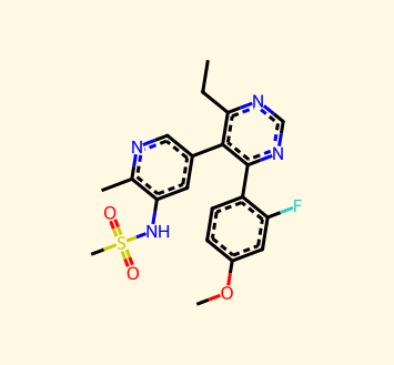 CCc1ncnc(-c2ccc(OC)cc2F)c1-c1cnc(C)c(NS(C)(=O)=O)c1